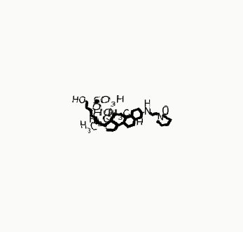 C[C@H](CCC(CCO)OS(=O)(=O)O)[C@H]1CCC2C3CC[C@H]4C[C@@H](NCCN5CCCCC5=O)CC[C@]4(C)C3C[C@H](O)[C@@]21C